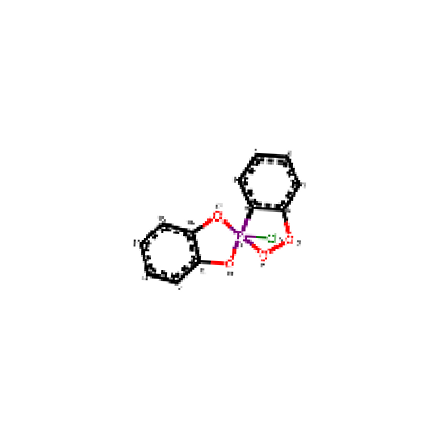 ClP12(OOc3ccccc31)Oc1ccccc1O2